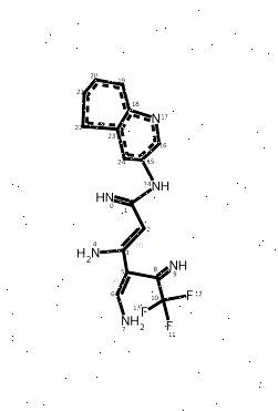 N=C(/C=C(N)/C(=C/N)C(=N)C(F)(F)F)Nc1cnc2ccccc2c1